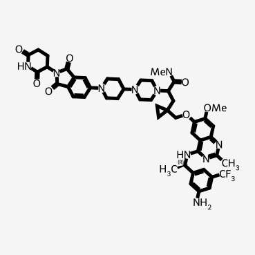 CNC(=O)C(CC1(COc2cc3c(N[C@H](C)c4cc(N)cc(C(F)(F)F)c4)nc(C)nc3cc2OC)CC1)N1CCN(C2CCN(c3ccc4c(c3)C(=O)N(C3CCC(=O)NC3=O)C4=O)CC2)CC1